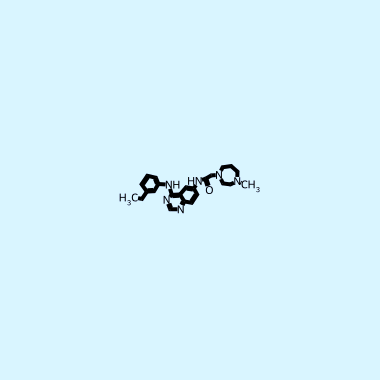 CCc1cccc(Nc2ncnc3ccc(NC(=O)CN4CCCN(C)CC4)cc23)c1